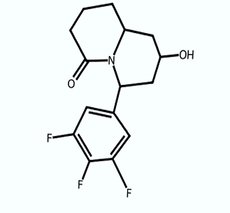 O=C1CCCC2CC(O)CC(c3cc(F)c(F)c(F)c3)N12